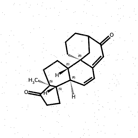 C[C@]12CC[C@H]3[C@@H](C=CC4=CC(=O)C5CCC[C@]43C5)[C@@H]1CCC2=O